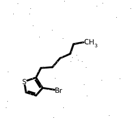 CCCCCCc1sccc1Br